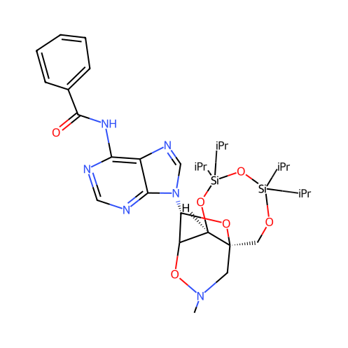 CC(C)[Si]1(C(C)C)OC[C@@]23CN(C)OC([C@H](n4cnc5c(NC(=O)c6ccccc6)ncnc54)O2)[C@H]3O[Si](C(C)C)(C(C)C)O1